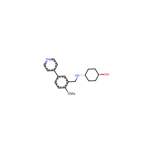 COc1ccc(-c2ccncc2)cc1CN[C@H]1CC[C@H](O)CC1